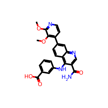 COc1nccc(-c2ccc3c(Nc4cccc(C(=O)O)c4)c(C(N)=O)cnc3c2)c1OC